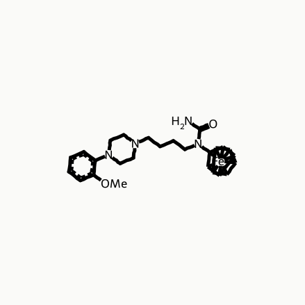 COc1ccccc1N1CCN(CCCCN(C(N)=O)[C]23[CH]4[CH]5[CH]6[CH]2[Fe]56432789[CH]3[CH]2[CH]7[CH]8[CH]39)CC1